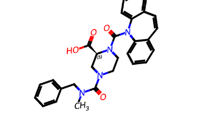 CN(Cc1ccccc1)C(=O)N1CCN(C(=O)N2c3ccccc3C=Cc3ccccc32)[C@H](C(=O)O)C1